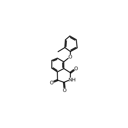 Cc1ccccc1Oc1cccc2c1C(=O)NC(=O)C2=O